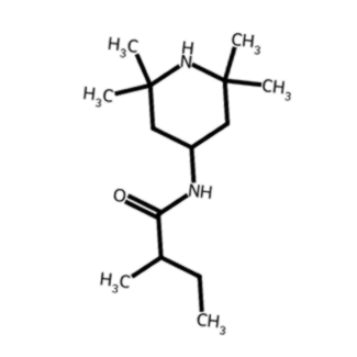 CCC(C)C(=O)NC1CC(C)(C)NC(C)(C)C1